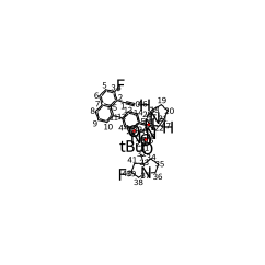 C#Cc1c(F)ccc2cccc(-c3ccc4c(N5[C@@H]6CC[C@H]5CN(C(=O)OC(C)(C)C)C6)nc(OC[C@@]56CCCN5C[C@H](F)C6)nc4c3)c12